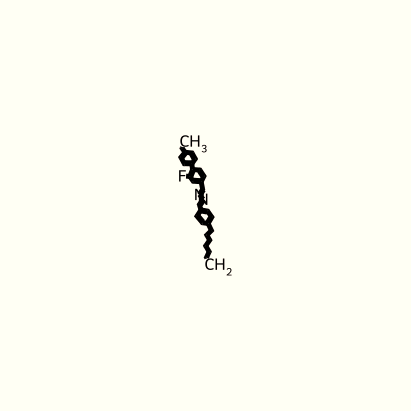 C=CCCCCCc1ccc(C=NN=Cc2ccc(-c3ccc(CC)cc3)c(F)c2)cc1